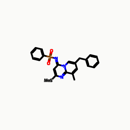 CSc1cc(=NS(=O)(=O)c2ccccc2)n2cc(Cc3ccccc3)cc(C)c2n1